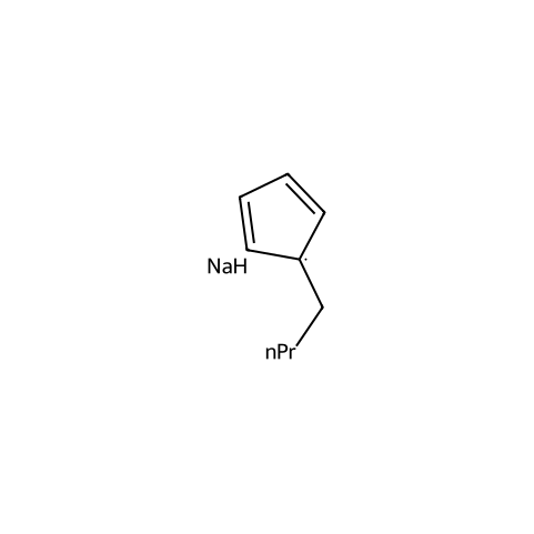 CCCC[C]1C=CC=C1.[NaH]